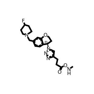 CNOC(=O)CCc1cn([C@@H]2CCOc3cc(CN4CCC(F)CC4)ccc32)nn1